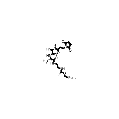 CCCC(C)COC(=O)NCCNC(=O)[C@H](C)NC(=O)C(NC(=O)CCN1C(=O)C=CC1=O)C(C)C